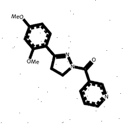 COc1ccc(C2=NN(C(=O)c3cccnc3)CC2)c(OC)c1